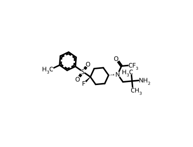 Cc1cccc(S(=O)(=O)[C@]2(F)CC[C@H](N(CC(C)(C)N)C(=O)C(F)(F)F)CC2)c1